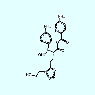 N#CCCn1nnnc1CC[C@@H](C(=O)OC(=O)c1ccc(N)cn1)N(C=O)c1ccc(N)cn1